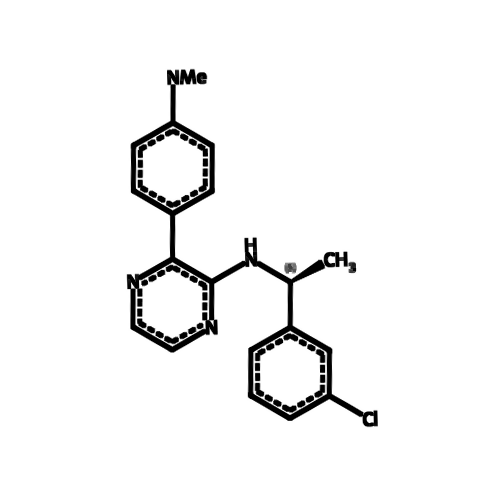 CNc1ccc(-c2nccnc2N[C@@H](C)c2cccc(Cl)c2)cc1